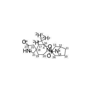 [2H]C([2H])([2H])COC(=O)N1C2CCC1CC(N1CCC3(CC1)CNC(=O)C3)C2